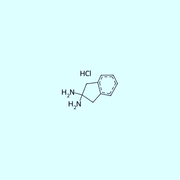 Cl.NC1(N)Cc2ccccc2C1